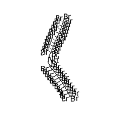 BrC(Br)(Br)C(Br)(Br)C(Br)(Br)C(Br)(Br)C(Br)(Br)C(Br)(Br)C(Br)(Br)C(Br)(Br)C(Br)(Br)C(Br)(Br)C(Br)(Br)CNCC(Br)(Br)C(Br)(Br)C(Br)(Br)C(Br)(Br)C(Br)(Br)C(Br)(Br)C(Br)(Br)C(Br)(Br)C(Br)(Br)C(Br)(Br)C(Br)(Br)Br